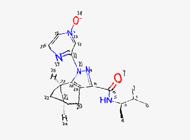 CC(C)[C@@H](C)NC(=O)c1nn(-c2c[n+]([O-])ccn2)c2c1C[C@H]1C[C@@H]21